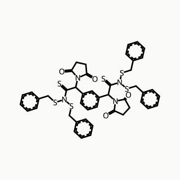 O=C1CCC(=O)N1C(C(=S)N(SCc1ccccc1)SCc1ccccc1)c1cccc(C(C(=S)N(SCc2ccccc2)SCc2ccccc2)N2C(=O)CCC2=O)c1